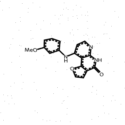 COc1cccc(Nc2ccnc3[nH]c(=O)c4ccoc4c23)c1